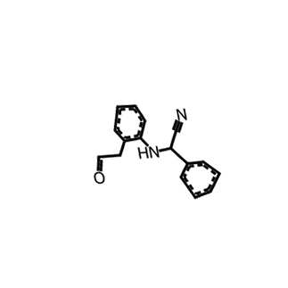 N#CC(Nc1ccccc1CC=O)c1ccccc1